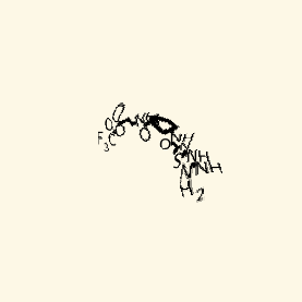 N=C(N)Nc1nc(C(=O)Nc2cccc(C(=O)NCCC(=O)OC(=O)C(F)(F)F)c2)cs1